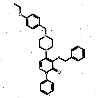 CCOc1ccc(CN2CCN(c3cnn(-c4ccccc4)c(=O)c3SCc3ccccc3)CC2)cc1